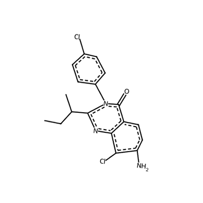 CCC(C)c1nc2c(Cl)c(N)ccc2c(=O)n1-c1ccc(Cl)cc1